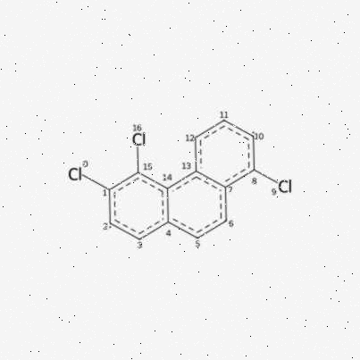 Clc1[c]cc2ccc3c(Cl)[c]ccc3c2c1Cl